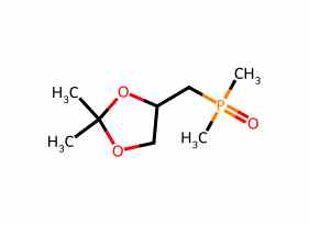 CC1(C)OCC(CP(C)(C)=O)O1